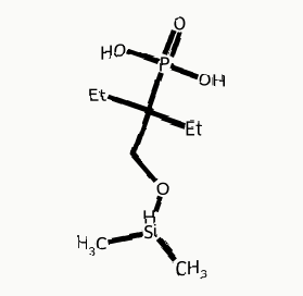 CCC(CC)(CO[SiH](C)C)P(=O)(O)O